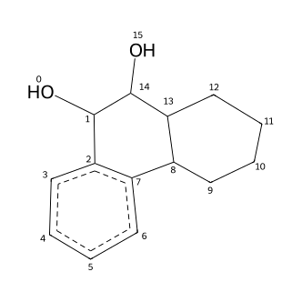 OC1c2ccccc2C2CCCCC2C1O